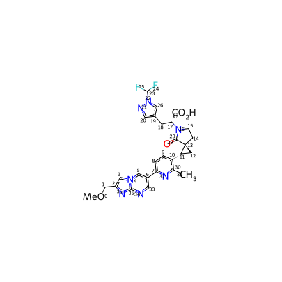 COCc1cn2cc(-c3ccc([C@H]4C[C@@]45CCN([C@H](Cc4cnn(C(F)F)c4)C(=O)O)C5=O)c(C)n3)cnc2n1